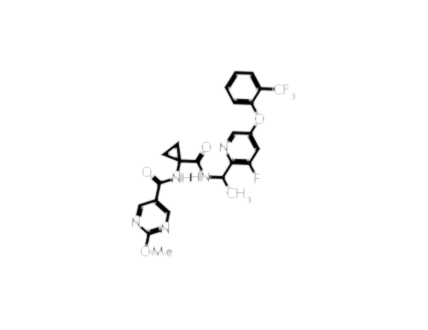 COc1ncc(C(=O)NC2(C(=O)NC(C)c3ncc(Oc4ccccc4C(F)(F)F)cc3F)CC2)cn1